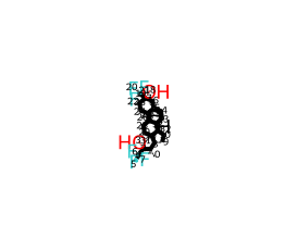 C[C@H]([C@@H](O)C(F)(F)F)[C@H]1CC[C@H]2[C@@H]3CC=C4C[C@](O)(C(F)(F)F)CC[C@]4(C)C3CC[C@]12C